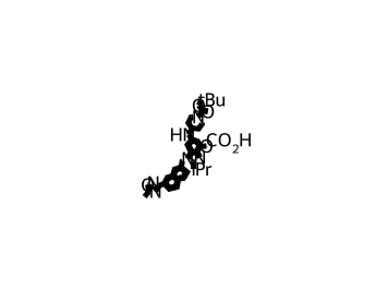 Cc1nc(-c2ccc3ccc(Cn4c(C(C)C)nc5c(OC(=O)O)cc(NC6CCN(C(=O)OC(C)(C)C)CC6)cc54)cc3c2)no1